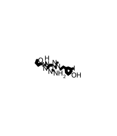 NC1=NC2=NN(c3ccco3)NC2=C2N=CN(CCc3ccc(O)c(I)c3)N12